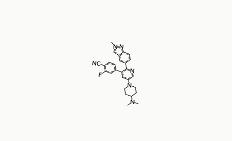 CN(C)C1CCN(c2cnc(-c3ccc4nn(C)cc4c3)c(-c3ccc(C#N)c(F)c3)c2)CC1